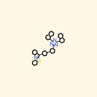 c1cc(-c2ccc(-c3c4ccccc4n4c3sc3ccccc34)cc2)cc(-c2nc(-c3cccc4ccccc34)nc(-c3cccc4ccccc34)n2)c1